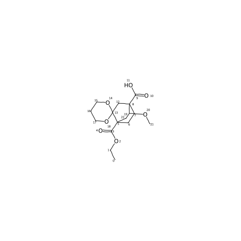 CCOC(=O)C12CCC(C(=O)O)(CC13OCCCO3)C(OC)C2